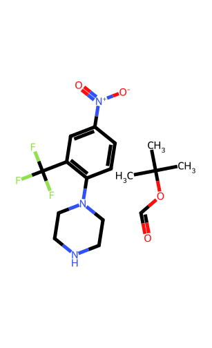 CC(C)(C)OC=O.O=[N+]([O-])c1ccc(N2CCNCC2)c(C(F)(F)F)c1